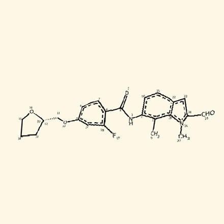 Cc1c(NC(=O)c2ccc(OC[C@@H]3CCCO3)cc2F)ccc2cc(C=O)n(C)c12